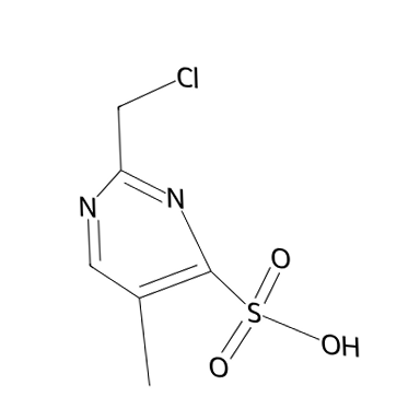 Cc1cnc(CCl)nc1S(=O)(=O)O